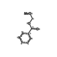 COCOC(=O)c1cccnc1